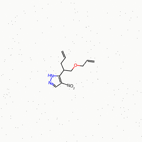 C=CCOCC(CC=C)c1[nH]ncc1[N+](=O)[O-]